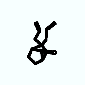 C=CCC1(CC=C)C(=O)C2CCC1N2